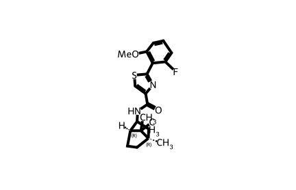 COc1cccc(F)c1-c1nc(C(=O)NC2C[C@@]3(C)CC[C@@H]2C3(C)C)cs1